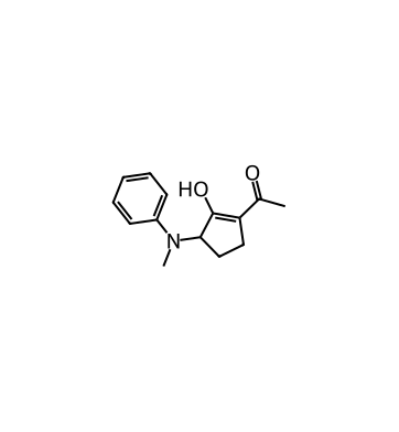 CC(=O)C1=C(O)C(N(C)c2ccccc2)CC1